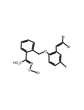 CCON=C(C(=O)O)c1ccccc1COc1ccc(F)cc1C=C(Br)Br